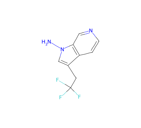 Nn1cc(CC(F)(F)F)c2ccncc21